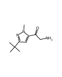 Cn1nc(C(C)(C)C)cc1C(=O)CN